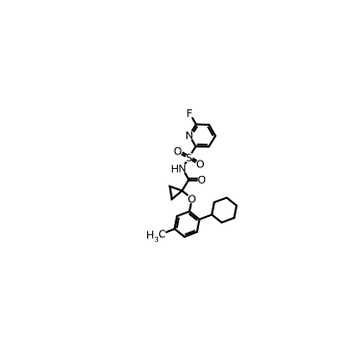 Cc1ccc(C2CCCCC2)c(OC2(C(=O)NS(=O)(=O)c3cccc(F)n3)CC2)c1